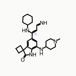 CN1CCC(Nc2cc(/C(=C/C=N)NC3CCCCC3)cc3c2NC(=O)C32CCC2)CC1